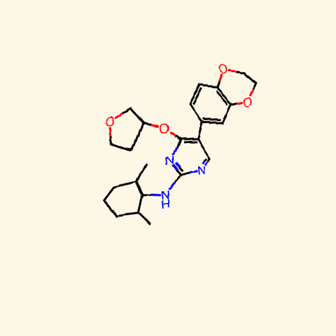 CC1CCCC(C)C1Nc1ncc(-c2ccc3c(c2)OCCO3)c(OC2CCOC2)n1